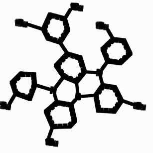 CC(C)(C)c1cccc(N2c3cc(C(C)(C)C)ccc3B3c4ccc(C(C)(C)C)cc4N(c4cccc(C(C)(C)C)c4)c4cc(-c5cc(C(C)(C)C)cc(C(C)(C)C)c5)cc2c43)c1